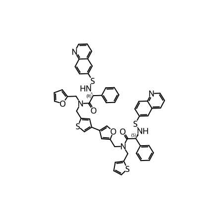 O=C([C@@H](NSc1ccc2ncccc2c1)c1ccccc1)N(Cc1cc(-c2csc(CN(Cc3ccco3)C(=O)[C@H](NSc3ccc4ncccc4c3)c3ccccc3)c2)co1)Cc1cccs1